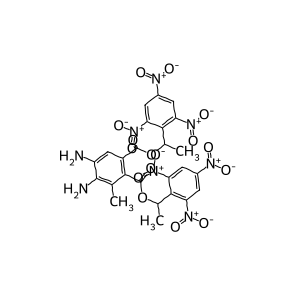 Cc1c(N)c(N)cc(C(=O)OC(C)c2c([N+](=O)[O-])cc([N+](=O)[O-])cc2[N+](=O)[O-])c1C(=O)OC(C)c1c([N+](=O)[O-])cc([N+](=O)[O-])cc1[N+](=O)[O-]